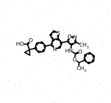 Cc1noc(-c2cnc(-c3ccc(C4(C(=O)O)CC4)cc3)c3ccsc23)c1NC(=O)OC(C)c1ccccc1